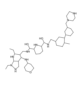 CCC1NC2C(CNN2CC)C(NC2CCOCC2)C1CNC(O)C1CCCC(C(O)NCC2CCC(C)C(C3CCCC(CN4CCNCC4)C3)C2)N1